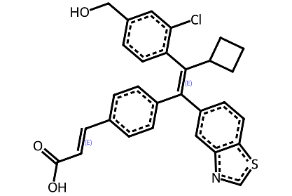 O=C(O)/C=C/c1ccc(/C(=C(\c2ccc(CO)cc2Cl)C2CCC2)c2ccc3scnc3c2)cc1